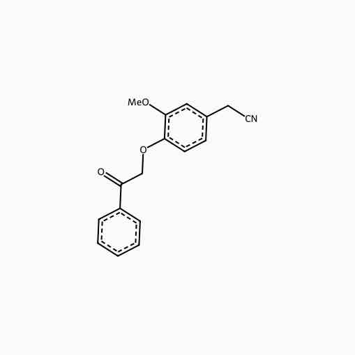 COc1cc(CC#N)ccc1OCC(=O)c1ccccc1